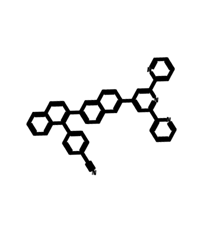 N#Cc1ccc(-c2c(-c3ccc4cc(-c5cc(-c6ccccn6)nc(-c6ccccn6)c5)ccc4c3)ccc3ccccc23)cc1